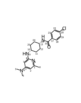 Cc1cc(N(C)C)cc(N[C@H]2CC[C@@H](NC(=O)c3ccc(Cl)cc3)CC2)n1